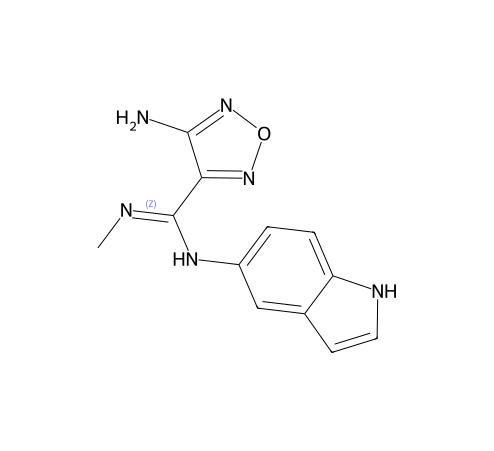 C/N=C(\Nc1ccc2[nH]ccc2c1)c1nonc1N